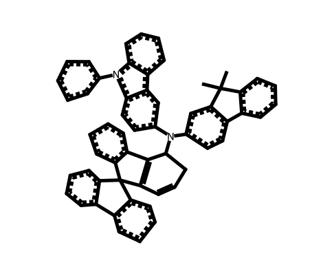 CC1(C)c2ccccc2-c2ccc(N(c3ccc4c(c3)c3ccccc3n4-c3ccccc3)C3CC=CC4=C3c3ccccc3C43c4ccccc4-c4ccccc43)cc21